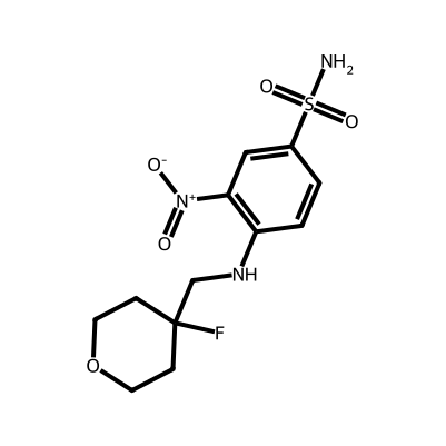 NS(=O)(=O)c1ccc(NCC2(F)CCOCC2)c([N+](=O)[O-])c1